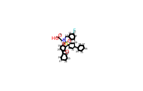 O=C(O)CN(Cc1cccc(F)c1)S(=O)(=O)C1(c2cccc3c2oc2ccccc23)C=CC(c2ccccc2)C=C1